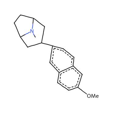 COc1ccc2cc(C3CC4CCC(C3)N4C)ccc2c1